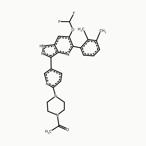 CC(=O)N1CCN(c2ccc(-c3n[nH]c4cc(OC(F)F)c(-c5cccc(C)c5C)nc34)cn2)CC1